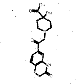 O=C1CSc2ccc(C(=O)CN3CCC(O)(C(=O)O)CC3)cc2N1